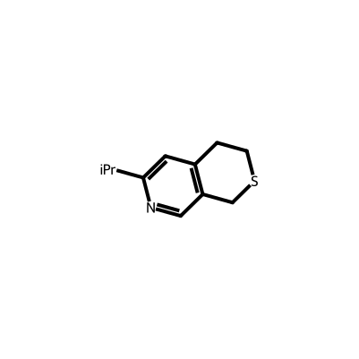 CC(C)c1cc2c(cn1)CSCC2